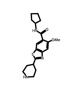 COc1cc2nc(C3CCNCC3)sc2cc1C(=O)NC1CCCC1